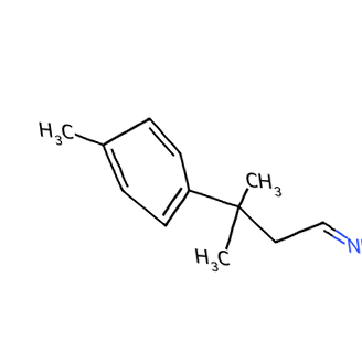 Cc1ccc(C(C)(C)CC=N)cc1